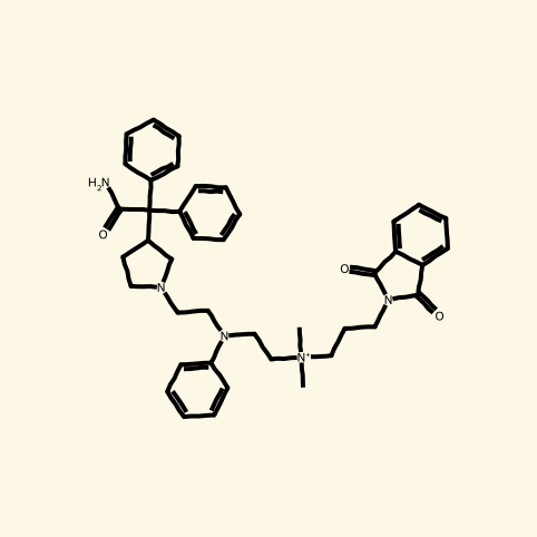 C[N+](C)(CCCN1C(=O)c2ccccc2C1=O)CCN(CCN1CCC(C(C(N)=O)(c2ccccc2)c2ccccc2)C1)c1ccccc1